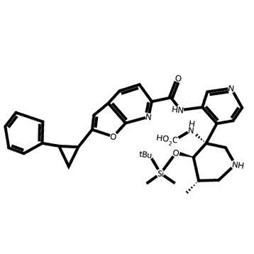 C[C@H]1CNC[C@](NC(=O)O)(c2ccncc2NC(=O)c2ccc3cc(C4CC4c4ccccc4)oc3n2)[C@@H]1O[Si](C)(C)C(C)(C)C